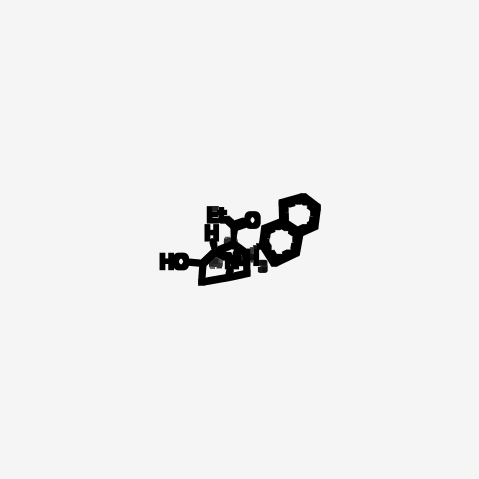 CCC(=O)[C@@H]1[C@H]2C(O)CC(C[C@H]1c1ccc3ccccc3c1)N2C